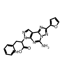 COC(=O)C(Cc1ccccc1)n1ncc2c1nc(N)n1nc(-c3ccco3)nc21